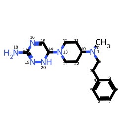 CN(CCc1ccccc1)C1CCN(C2C=NC(N)=NN2)CC1